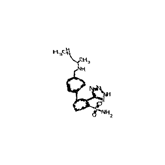 CNCC(C)NCc1ccc(-c2cccc(S(N)(=O)=O)c2-c2nn[nH]n2)cc1